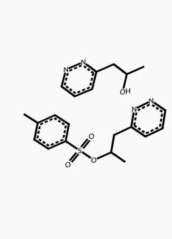 CC(O)Cc1cccnn1.Cc1ccc(S(=O)(=O)OC(C)Cc2cccnn2)cc1